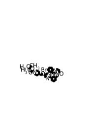 CC(C)(C)OC(=O)N1CCC(COc2cnc(-c3cccc(Cn4c(=O)ccn5c6ccc(Br)cc6nc45)c3)nc2)CC1